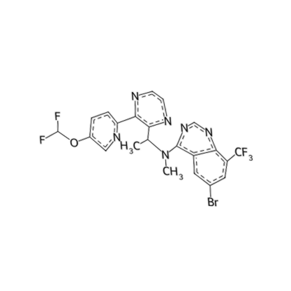 CC(c1nccnc1-c1ccc(OC(F)F)cn1)N(C)c1ncnc2c(C(F)(F)F)cc(Br)cc12